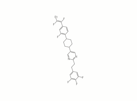 CC/C(F)=C(\F)c1ccc(C2CCC(c3cnc(CCc4cc(F)c(F)c(F)c4)nc3)CC2)c(F)c1